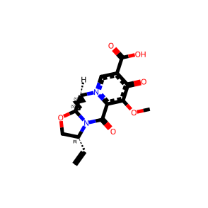 C=C[C@@H]1CO[C@@]23CCC[C@@H]2n2cc(C(=O)O)c(=O)c(OC)c2C(=O)N13